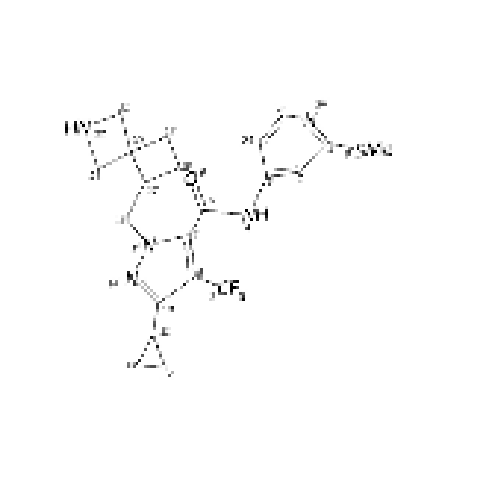 CSc1cc(NC(=O)c2c(C(F)(F)F)c(C3CC3)nn2CC2CCC23CNC3)ccn1